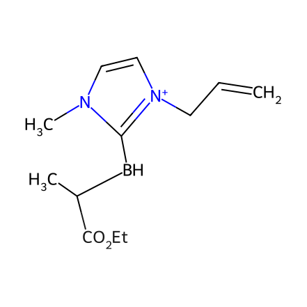 C=CC[n+]1ccn(C)c1BC(C)C(=O)OCC